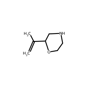 C=C(C)C1CNCCO1